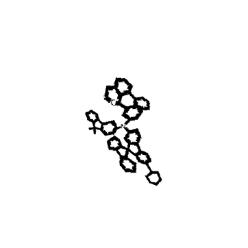 CC1(C)c2ccccc2-c2cc(N(c3cccc(-c4cccc5cccc(-c6ccccc6)c45)c3)c3ccc4c(c3)C3(c5ccccc5-c5ccccc53)c3cc(C5CCCCC5)ccc3-4)ccc21